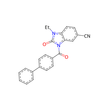 CCn1c(=O)n(C(=O)c2ccc(-c3ccccc3)cc2)c2cc(C#N)ccc21